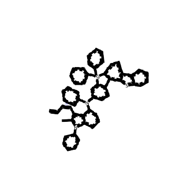 C=C/C=C\c1c(C)n(-c2ccccc2)c2cccc(N(c3ccccc3)c3ccc4c(c3)[Si](c3ccccc3)(c3ccccc3)c3ccc5c(sc6ccccc65)c3-4)c12